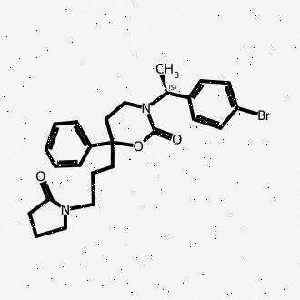 C[C@@H](c1ccc(Br)cc1)N1CCC(CCCN2CCCC2=O)(c2ccccc2)OC1=O